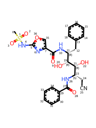 CS(=O)(=O)Nc1nc(C(=O)N[C@H](Cc2ccccc2)[C@@H](O)[C@H](O)[C@H](CC#N)NC(=O)c2ccccc2)co1